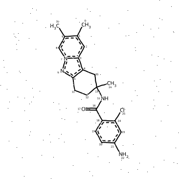 Cc1cc2c3c(nn2cc1C)CCC(C)(NC(=O)c1ccc(N)cc1Cl)C3